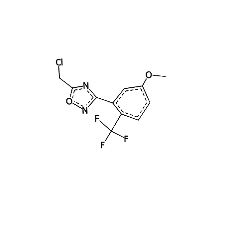 COc1ccc(C(F)(F)F)c(-c2noc(CCl)n2)c1